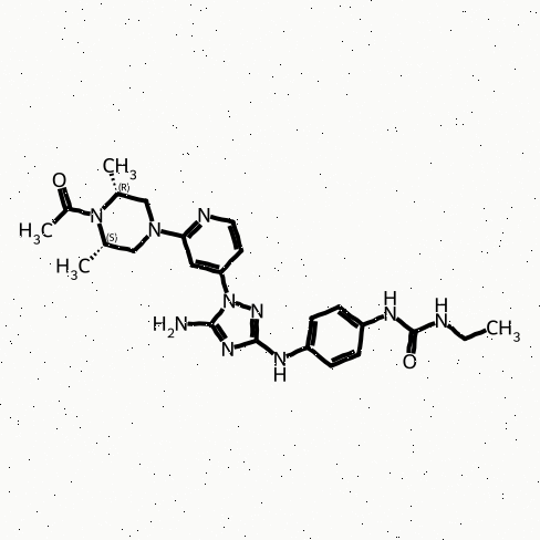 CCNC(=O)Nc1ccc(Nc2nc(N)n(-c3ccnc(N4C[C@@H](C)N(C(C)=O)[C@@H](C)C4)c3)n2)cc1